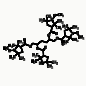 CON1C(C)(C)CC(C(=O)OCC(CCC(COC(=O)C2CC(C)(C)N(OC)C2(C)C)OC(=O)C2CC(C)(C)N(OC)C2(C)C)OC(=O)C2CC(C)(C)NC2(C)C)C1(C)C